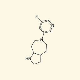 Fc1cncc(N2CCC3CCNC3CC2)c1